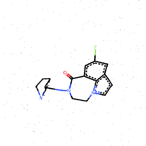 O=C1c2cc(F)cc3ccn(c23)CCN1C1CN2CCC1CC2